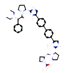 CCN(CC)[C@@H](C(=O)N1CCC[C@H]1c1ncc(-c2ccc(-c3ccc(-c4cnc([C@@H]5CCCN5C[C@@H]5CCN5C(=O)O)[nH]4)cc3)cc2)[nH]1)c1ccccc1